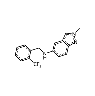 Cn1cc2cc(NCc3ccccc3C(F)(F)F)ccc2n1